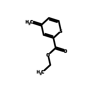 C=C1C=CSC(C(=O)OCC)=C1